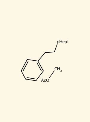 CCCCCCCCCc1ccccc1.COC(C)=O